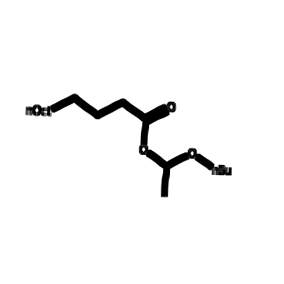 CCCCCCCCCCCC(=O)OC(C)OCCCC